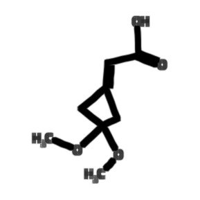 COC1(OC)CC(=CC(=O)O)C1